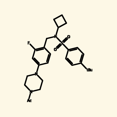 CC(=O)N1CCN(c2ccc(CN(C3CCC3)S(=O)(=O)c3ccc(C(C)(C)C)cc3)c(F)c2)CC1